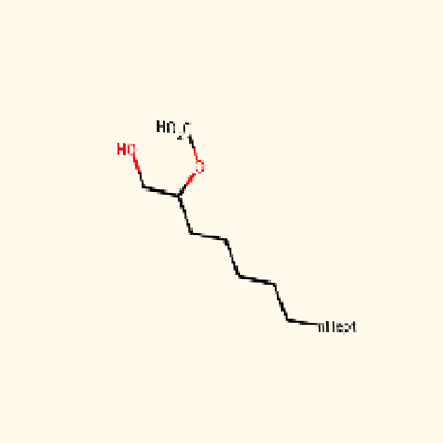 CCCCCCCCCCCCC(CO)OC(=O)O